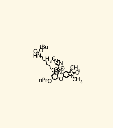 CCCOc1cc(OCCCCCCNC(=O)OC(C)(C)C)cc(Oc2cc3c(cc2NS(=O)(=O)c2cn(C)cn2)n(C)c(=O)n3C)c1